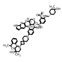 CC(C)c1ccccc1[C@@H]1C[C@@](C)(O)CCN1C1CC2(CCN(c3ccc(C(=O)NS(=O)(=O)c4ccc(NC[C@H]5CC[C@](C)(O)CC5)c([N+](=O)[O-])c4)c(N4c5cc6cc[nH]c6nc5O[C@H]5COCC[C@@H]54)c3)CC2)C1